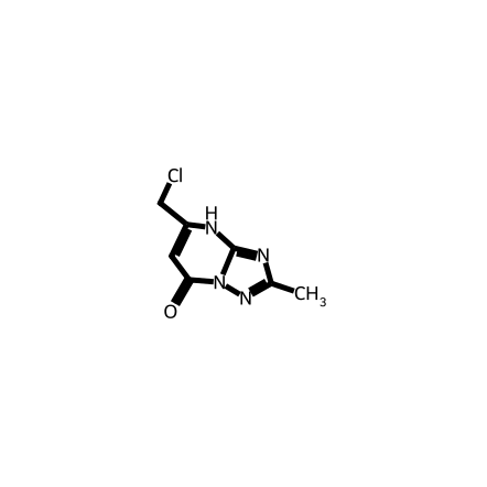 Cc1nc2[nH]c(CCl)cc(=O)n2n1